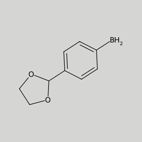 Bc1ccc(C2OCCO2)cc1